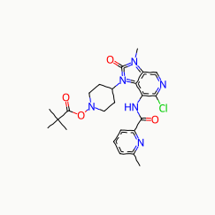 Cc1cccc(C(=O)Nc2c(Cl)ncc3c2n(C2CCN(OC(=O)C(C)(C)C)CC2)c(=O)n3C)n1